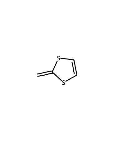 C=C1SC=CS1